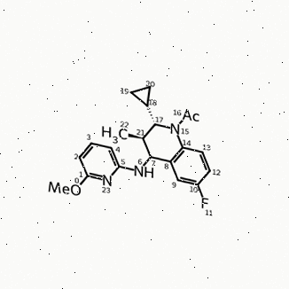 COc1cccc(NC2c3cc(F)ccc3N(C(C)=O)[C@@H](C3CC3)[C@@H]2C)n1